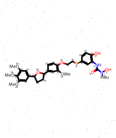 CCCCN(O)C(=O)Nc1cc(SCCOc2ccc(C3CCC(c4cc(OC)c(OC)c(OC)c4)O3)cc2OC)ccc1O